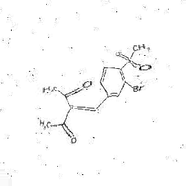 CC(=O)C(=Cc1ccc(S(C)(=O)=O)c(Br)c1)C(C)=O